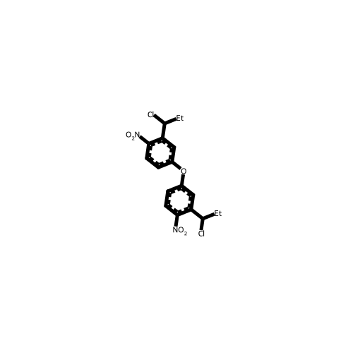 CCC(Cl)c1cc(Oc2ccc([N+](=O)[O-])c(C(Cl)CC)c2)ccc1[N+](=O)[O-]